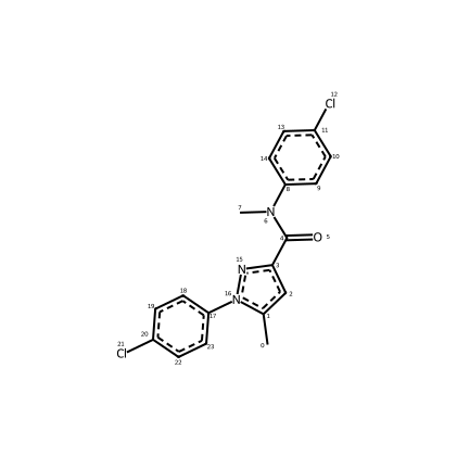 Cc1cc(C(=O)N(C)c2ccc(Cl)cc2)nn1-c1ccc(Cl)cc1